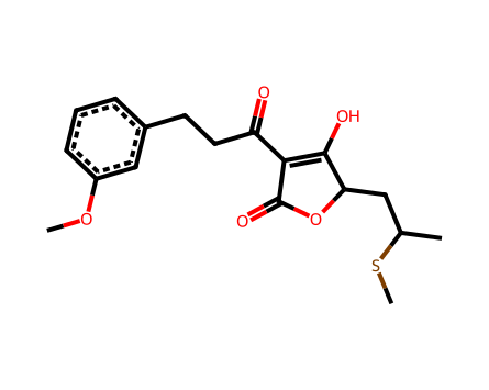 COc1cccc(CCC(=O)C2=C(O)C(CC(C)SC)OC2=O)c1